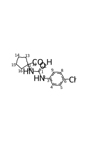 O=C(Nc1ccc(Cl)cc1)NC1(C(=O)O)CCCC1